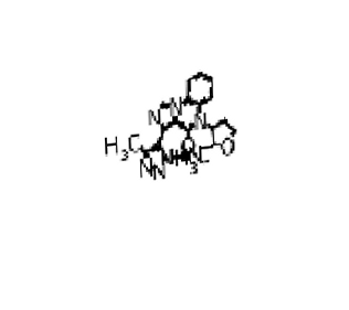 Cc1nnn(C#N)c1-c1ncn2c1c(=O)n(C1CCOC1C)c1ccccc12